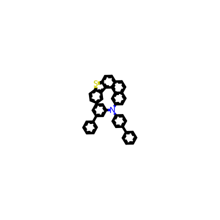 c1ccc(-c2ccc(N(c3cccc(-c4ccccc4)c3)c3ccc4ccc5ccc6sc7ccccc7c6c5c4c3)cc2)cc1